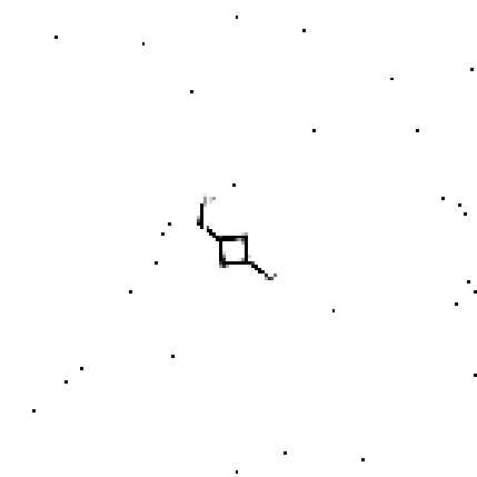 CC(=O)C1CC(CC(C)C)C1